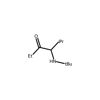 CCC(=O)C(NC(C)(C)C)C(C)C